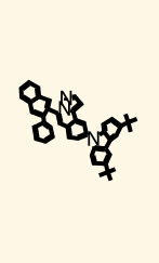 CC(C)(C)c1ccc2c(c1)c1cc(C(C)(C)C)ccc1n2-c1ccc2cc(-c3cc4ccccc4cc3-c3ccccc3)n3nccc3c2c1